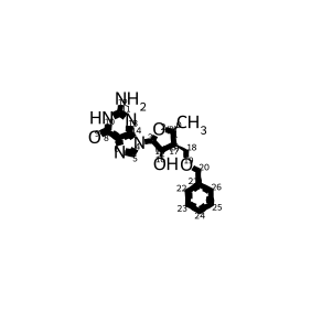 C[C@H]1OC(n2cnc3c(=O)[nH]c(N)nc32)[C@H](O)[C@@H]1COCc1ccccc1